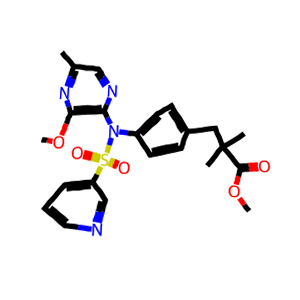 COC(=O)C(C)(C)Cc1ccc(N(c2ncc(C)nc2OC)S(=O)(=O)c2cccnc2)cc1